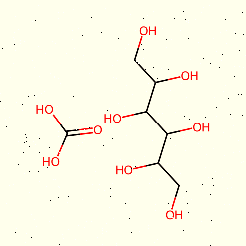 O=C(O)O.OCC(O)C(O)C(O)C(O)CO